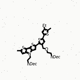 CCCCCCCCCCCCOCc1cc(-c2cc(CC)c(C)s2)sc1-c1cc2c(s1)c1sc(C)cc1n2CCCCCCCCCCCC